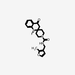 Cc1occc1CNC(=O)N1CCC2(CC1)CC(=O)c1ccccc1N2F